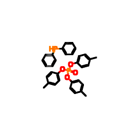 Cc1ccc(OP(=O)(Oc2ccc(C)cc2)Oc2ccc(C)cc2)cc1.c1ccc(Pc2ccccc2)cc1